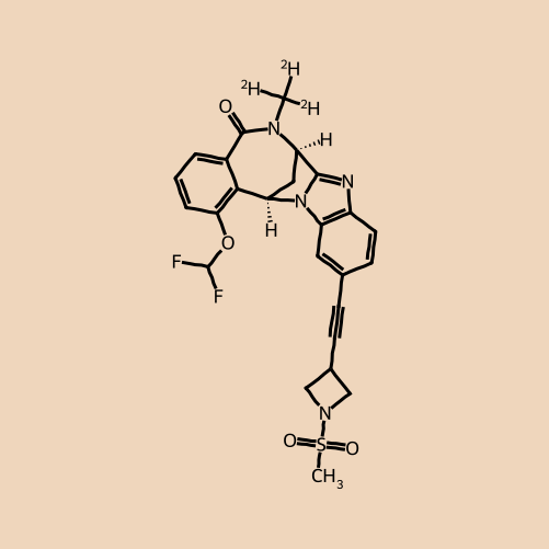 [2H]C([2H])([2H])N1C(=O)c2cccc(OC(F)F)c2[C@H]2C[C@@H]1c1nc3ccc(C#CC4CN(S(C)(=O)=O)C4)cc3n12